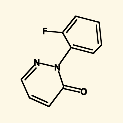 O=c1cccnn1-c1ccccc1F